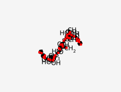 C=CCOc1cc(C(=O)NCCSCCCO[C@]2(C(=O)OC)C[C@H](O)C[C@H]([C@H](O)[C@H](O)CNC(=O)c3ccc(-c4ccccc4)cc3)O2)ccc1C(=O)NCCSCCCO[C@]1(C(=O)OC)C[C@H](O)[C@@H](NC(C)=O)[C@H]([C@H](O)[C@H](O)CNC(=O)c2ccc(-c3ccccc3)cc2)O1